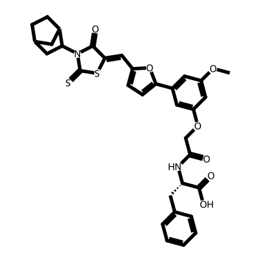 COc1cc(OCC(=O)N[C@@H](Cc2ccccc2)C(=O)O)cc(-c2ccc(/C=C3\SC(=S)N(C4CC5CCC4C5)C3=O)o2)c1